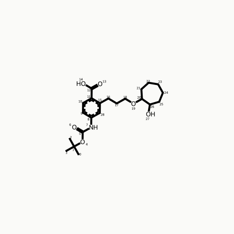 CC(C)(C)OC(=O)Nc1ccc(C(=O)O)c(CCCOC2CCCCCC2O)c1